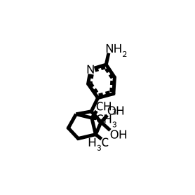 CC1(C)C2CCC1(C)C(O)(O)C2c1ccc(N)nc1